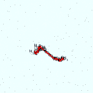 Cc1ncsc1-c1ccc(CNC(=O)[C@H]2CCCN2C(=O)[C@H](NC(=O)CCOCCOCCOCCOCCOCCOc2ccc(C(=O)Nc3ccc4oc(-c5ccc(=O)n(C)n5)nc4c3)nc2)C(C)(C)C)cc1